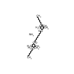 CCCCCCCCON1C(C)(C)CC(OC(=O)CCCCCCCCC(=O)OC2CC(C)(C)N(OCCCCCCCC)C(C)(C)C2)CC1(C)C.N